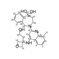 Cc1cccc2c(NC3(CCO)COC3)cc(N3CCS(O)(O)c4ccccc4C3)nc12